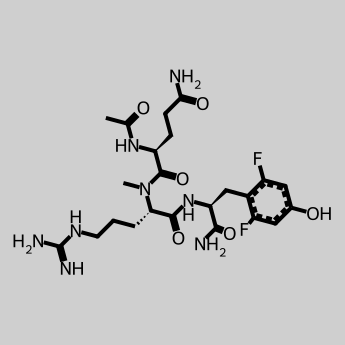 CC(=O)N[C@@H](CCC(N)=O)C(=O)N(C)[C@@H](CCCNC(=N)N)C(=O)N[C@@H](Cc1c(F)cc(O)cc1F)C(N)=O